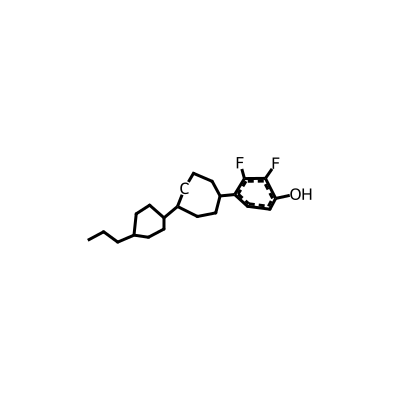 CCCC1CCC(C2CCCC(c3ccc(O)c(F)c3F)CC2)CC1